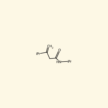 C=C(CC(=O)NC(C)C)C(C)C